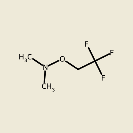 CN(C)OCC(F)(F)F